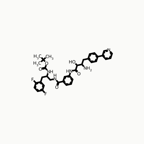 CC(C)(C)OC(=O)NC(CNC(=O)c1cccc(NC(=O)C(O)C(N)Cc2ccc(-c3cccnc3)cc2)c1)Cc1cc(F)ccc1F